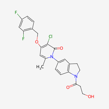 Cc1cc(OCc2ccc(F)cc2F)c(Cl)c(=O)n1-c1ccc2c(c1)CCN2C(=O)CCO